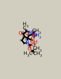 CC(N)C(=O)C1CCN(C(=O)OC(C)(C)C)C1(C(=O)O)C(=O)C(C)N